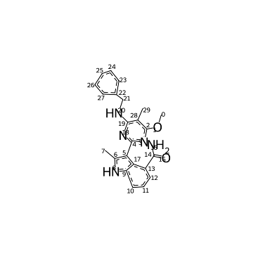 COc1nc(-c2c(C)[nH]c3cccc(C(N)=O)c23)nc(NCc2ccccc2)c1C